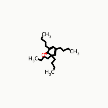 CCCCC1=CC(CCCC)(CCCC)C(=O)C(CCCC)=C1